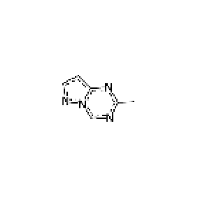 Cc1ncn2nccc2n1